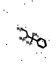 CN(CN)C(C)(C)c1ccccc1